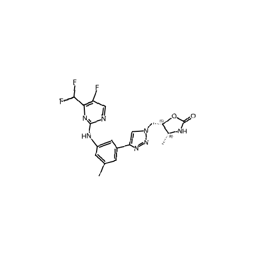 Cc1cc(Nc2ncc(F)c(C(F)F)n2)cc(-c2cn(C[C@@H]3OC(=O)N[C@@H]3C)nn2)c1